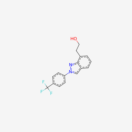 OCCc1cccc2cn(-c3ccc(C(F)(F)F)cc3)nc12